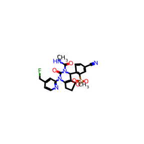 CNC(=O)N1C(=O)N(c2cc(CF)ccn2)C2=C(C(=O)CC2)C1c1ccc(C#N)cc1S(C)(=O)=O